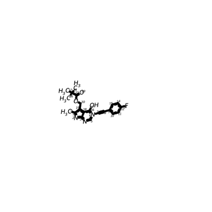 Cc1nc2ncn(C#Cc3ccc(F)cc3)c(O)c-2c1COC(=O)C(C)(C)C